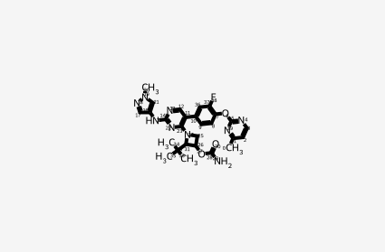 Cc1ccnc(Oc2ccc(-c3cnc(Nc4cnn(C)c4)nc3N3CC(OC(N)=O)C3C(C)(C)C)cc2F)n1